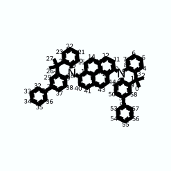 CC1(C)c2ccccc2N(c2ccc3ccc4c(N5c6ccccc6C(C)(C)c6cc(-c7ccccc7)ccc65)ccc5ccc2c3c54)c2ccc(-c3ccccc3)cc21